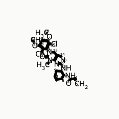 C=CC(=O)N[C@@H]1CCCC[C@@H]1Nc1ncc2c(n1)N(C)C(=O)N(c1c(Cl)c(OC)cc(OC)c1Cl)C2